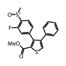 COC(=O)c1scc(-c2ccccc2)c1-c1ccc([S+](C)[O-])c(F)c1